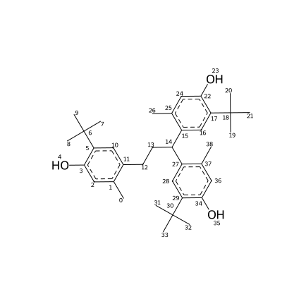 Cc1cc(O)c(C(C)(C)C)cc1CCC(c1cc(C(C)(C)C)c(O)cc1C)c1cc(C(C)(C)C)c(O)cc1C